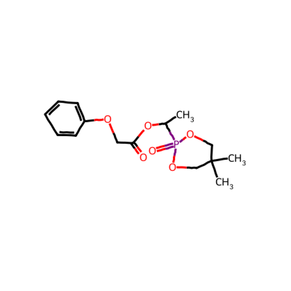 CC(OC(=O)COc1ccccc1)P1(=O)OCC(C)(C)CO1